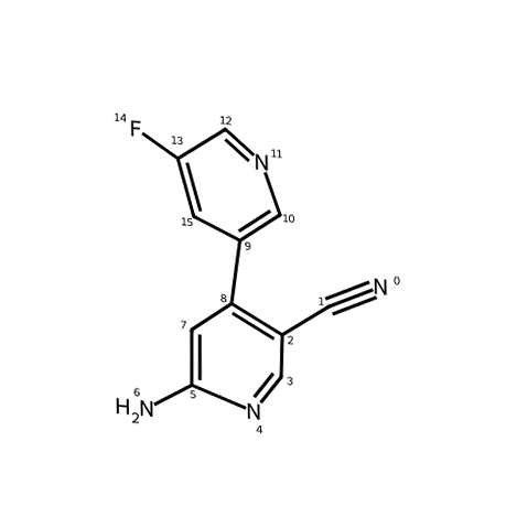 N#Cc1cnc(N)cc1-c1cncc(F)c1